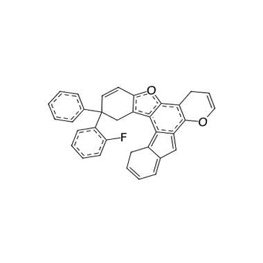 Fc1ccccc1C1(c2ccccc2)C=Cc2oc3c4c(c5c(c3c2C1)=C1CC=CC=C1C=5)OC=CC4